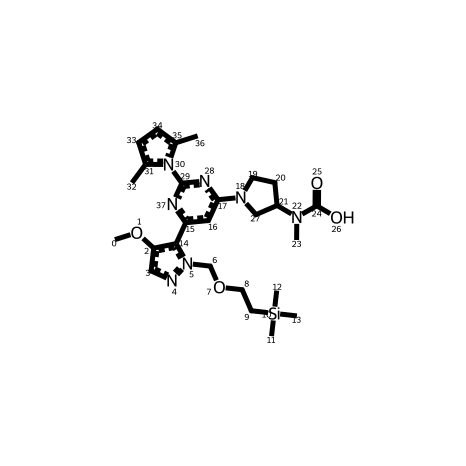 COc1cnn(COCC[Si](C)(C)C)c1-c1cc(N2CCC(N(C)C(=O)O)C2)nc(-n2c(C)ccc2C)n1